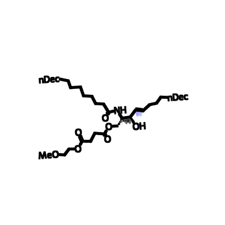 CCCCCCCCCCCCC/C=C/[C@@H](O)[C@H](COC(=O)CCC(=O)OCCOC)NC(=O)CCCCCCCCCCCCCCCCC